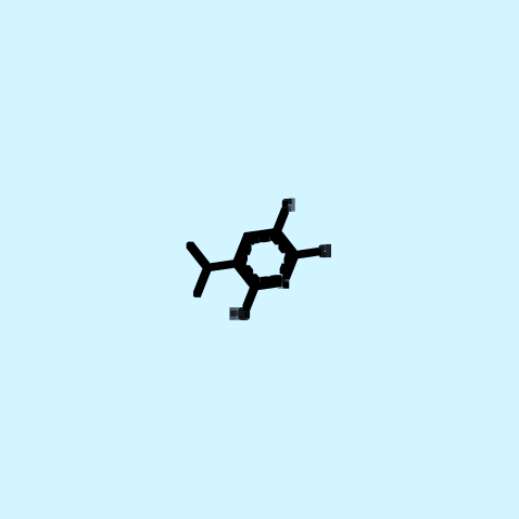 CC(C)c1cc(Cl)c(Cl)nc1O